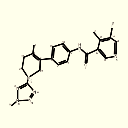 CC1=C(c2ccc(NC(=O)c3cncc(F)c3C)cc2)CN(c2nnn(C)n2)CC1